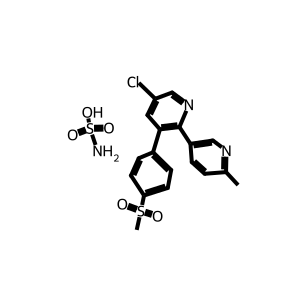 Cc1ccc(-c2ncc(Cl)cc2-c2ccc(S(C)(=O)=O)cc2)cn1.NS(=O)(=O)O